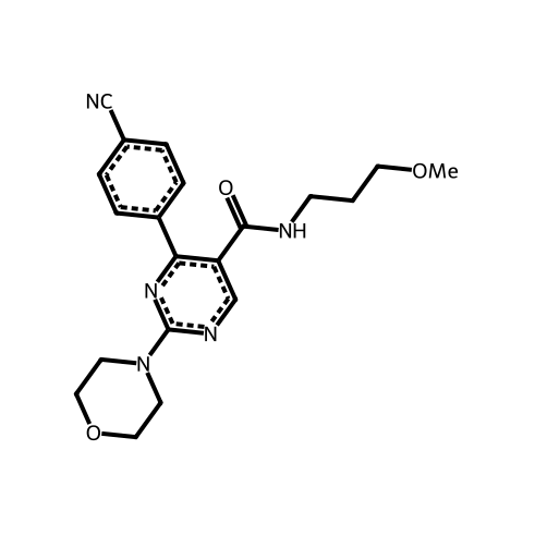 COCCCNC(=O)c1cnc(N2CCOCC2)nc1-c1ccc(C#N)cc1